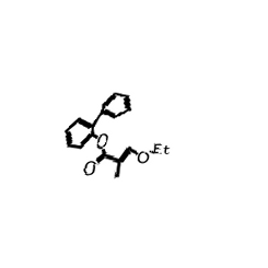 CCOC=C(C)C(=O)Oc1ccccc1-c1ccccc1